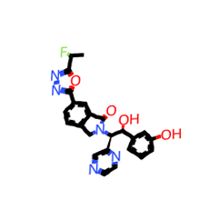 CC(F)c1nnc(-c2ccc3c(c2)C(=O)N([C@H](c2cnccn2)[C@@H](O)c2cccc(O)c2)C3)o1